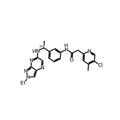 CCn1cc2ncc(N[C@@H](C)c3cccc(NC(=O)Cc4cc(C)c(Cl)cn4)c3)nc2n1